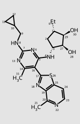 CC[C@H]1C[C@@H](Nc2nc(NCC3CC3)nc(C)c2-c2nc3c(C)nccc3s2)[C@H](O)[C@@H]1O